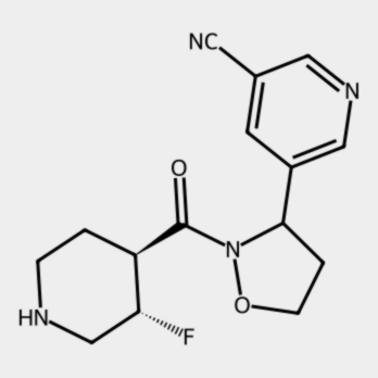 N#Cc1cncc(C2CCON2C(=O)[C@@H]2CCNC[C@H]2F)c1